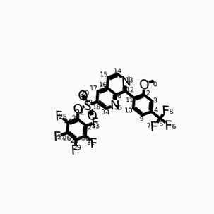 COc1cc(C(F)(F)F)ccc1-c1nccc2cc(S(=O)(=O)Oc3c(F)c(F)c(F)c(F)c3F)cnc12